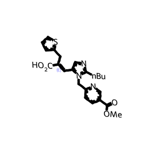 CCCCc1ncc(/C=C(\Cc2cccs2)C(=O)O)n1Cc1ccc(C(=O)OC)cn1